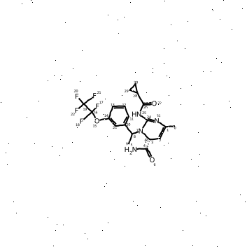 CC1=C[C@H](C(N)=O)N(C(C)c2cccc(OC(F)(F)C(F)(F)F)c2)C(NC(=O)C2CC2)=N1